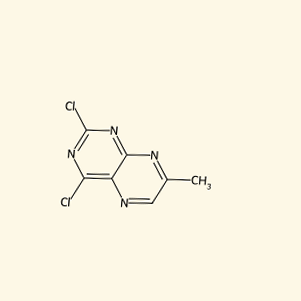 Cc1cnc2c(Cl)nc(Cl)nc2n1